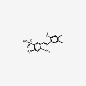 COc1cc(C)c(C)cc1N=Nc1cc(S(=O)(=O)O)c(N)cc1N